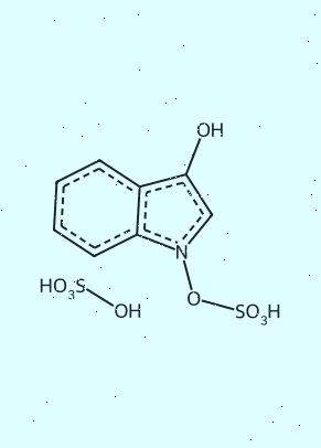 O=S(=O)(O)O.O=S(=O)(O)On1cc(O)c2ccccc21